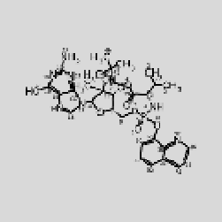 CC(C)[C@H](NP(=O)(OC[C@H]1OC(n2cnc3c(O)nc(N)nc32)[C@](C)(O)[C@@H]1O)Oc1cccc2cccnc12)C(=O)OCC(C)(C)C